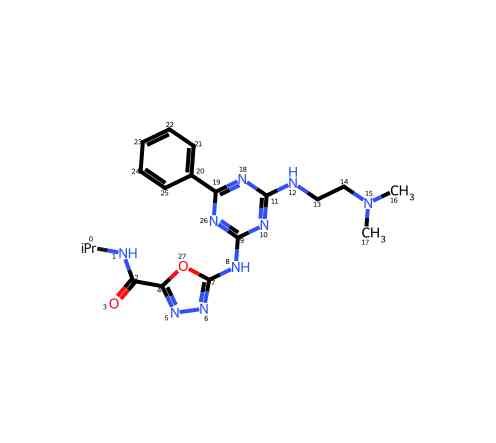 CC(C)NC(=O)c1nnc(Nc2nc(NCCN(C)C)nc(-c3ccccc3)n2)o1